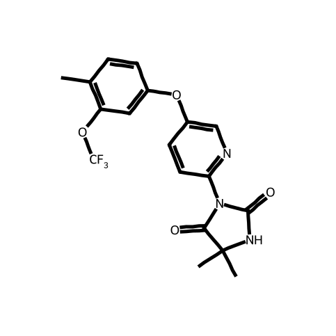 Cc1ccc(Oc2ccc(N3C(=O)NC(C)(C)C3=O)nc2)cc1OC(F)(F)F